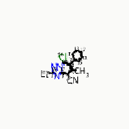 CCc1nc2c(C#N)c(C)c(-c3ccccc3)c(Cl)n2n1